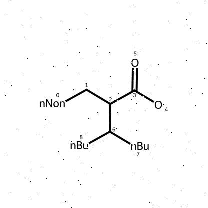 CCCCCCCCCCC(C([O])=O)C(CCCC)CCCC